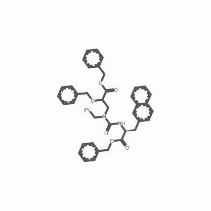 CC(C)CN(CC(OCc1ccccc1)C(=O)OCc1ccccc1)C(=O)N[C@@H](Cc1ccc2ccccc2c1)C(=O)OCc1ccccc1